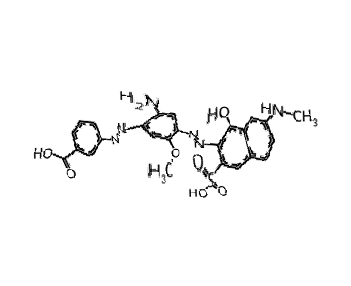 CNc1ccc2cc(S(=O)(=O)O)c(N=Nc3cc(N)c(N=Nc4cccc(C(=O)O)c4)cc3OC)c(O)c2c1